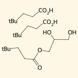 CC(C)(C)CCC(=O)O.CC(C)(C)CCC(=O)O.CC(C)(C)CCC(=O)OCC(O)CO